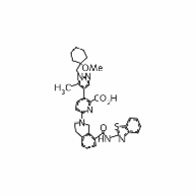 COC1(Cn2ncc(-c3ccc(N4CCc5cccc(C(=O)Nc6nc7ccccc7s6)c5C4)nc3C(=O)O)c2C)CCCCC1